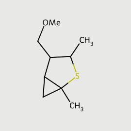 COCC1C(C)SC2(C)CC12